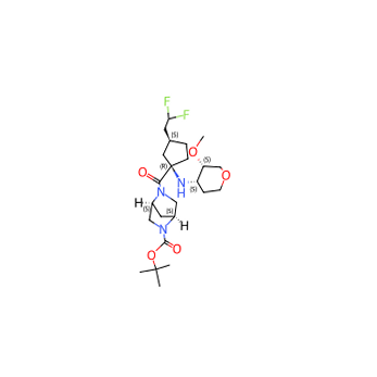 CO[C@@H]1COCC[C@@H]1N[C@]1(C(=O)N2C[C@@H]3C[C@H]2CN3C(=O)OC(C)(C)C)CC[C@H](CC(F)F)C1